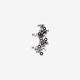 Cc1cc(C)c(NC(=O)Nc2cccc(S(=O)(=O)O)c2)c(C)c1/N=c1/cc2oc3cc(Nc4c(C)cc(C)c(NC(=O)Nc5ccccc5)c4C)ccc3c(-c3ccccc3S(=O)(=O)O)c-2cc1S(=O)(=O)NCCC(=O)O